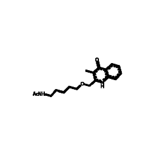 CC(=O)NCCCCCOCc1[nH]c2ccccc2c(=O)c1C